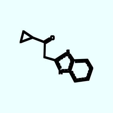 O=C(Cc1nc2ccccc2s1)C1CC1